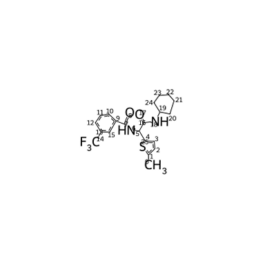 Cc1ccc(C(NC(=O)c2cccc(C(F)(F)F)c2)C(=O)NC2CCCCC2)s1